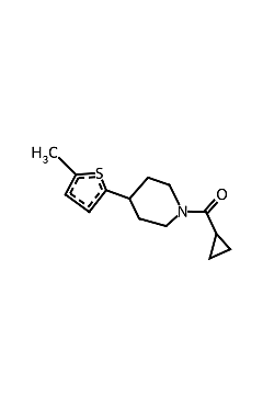 Cc1ccc(C2CCN(C(=O)C3CC3)CC2)s1